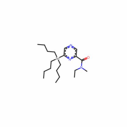 CCC[CH2][Sn]([CH2]CCC)([CH2]CCC)[c]1cncc(C(=O)N(C)CC)n1